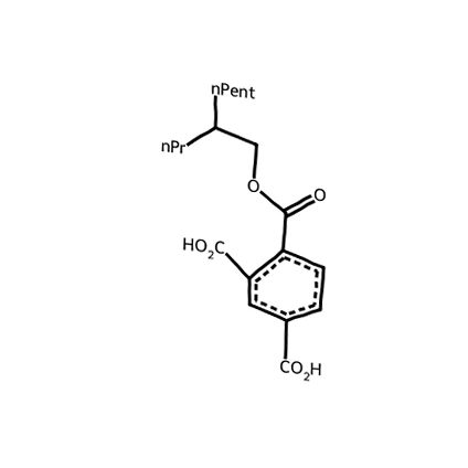 CCCCCC(CCC)COC(=O)c1ccc(C(=O)O)cc1C(=O)O